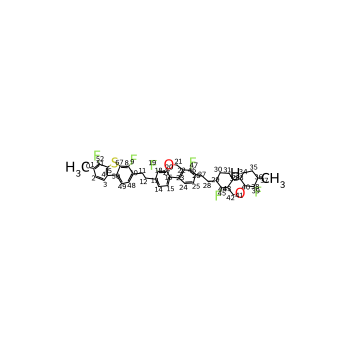 Cc1ccc2c(sc3c(F)c(CCc4ccc5c(c4F)OCc4c-5ccc(CC[C@H]5CC[C@H]6C7CC[C@@H](C)C(F)C7OCC6C5F)c4F)ccc32)c1F